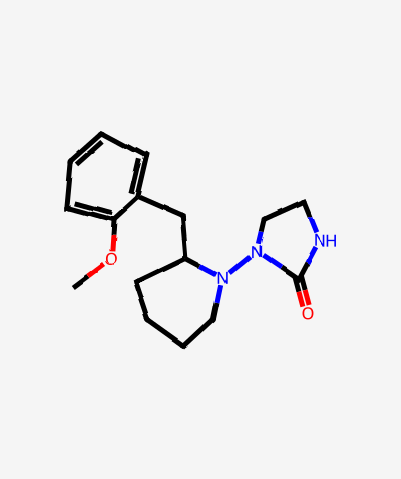 COc1ccccc1CC1CCCCN1N1CCNC1=O